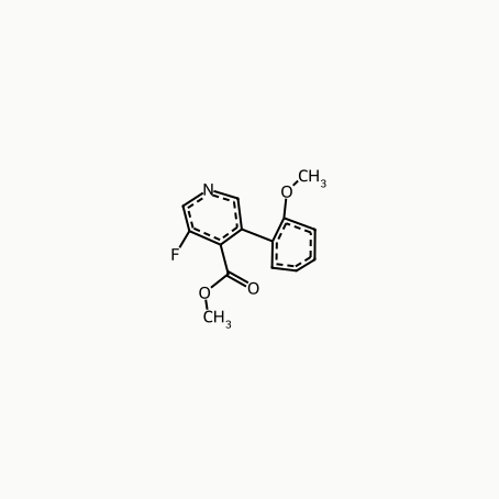 COC(=O)c1c(F)cncc1-c1ccccc1OC